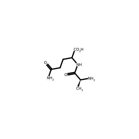 C[C@H](N)C(=O)NC(CCC(N)=O)C(=O)O